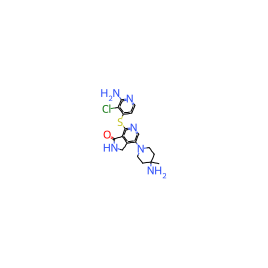 CC1(N)CCN(c2cnc(Sc3ccnc(N)c3Cl)c3c2CNC3=O)CC1